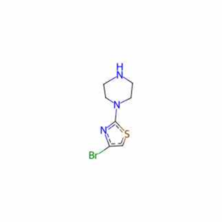 Brc1csc(N2CCNCC2)n1